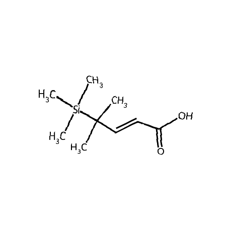 CC(C)(C=CC(=O)O)[Si](C)(C)C